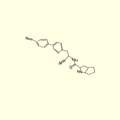 N#Cc1ccc(-c2ccc(CC(C#N)NC(=O)C3CC4CCCC4N3)cc2)cc1